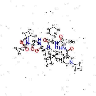 CC(C)(C)[C@H](NC(=O)[C@@H]1CCCN(C2CCC2)C1)C(=O)N[C@H](C(=O)N1C[C@]2(C[C@H]1C(=O)N[C@@H](CC1CCC1)C(=O)NS(=O)(=O)C1CC1)C(C)(C)C21CCC1)C1CCCCC1